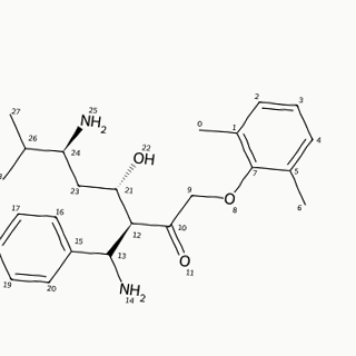 Cc1cccc(C)c1OCC(=O)[C@@H](C(N)c1ccccc1)[C@@H](O)C[C@H](N)C(C)C